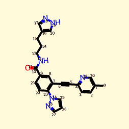 Cc1ccc(C#Cc2cc(C(=O)NCCCc3cn[nH]c3)ccc2-n2cccn2)nc1